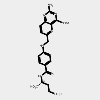 CC(=O)Nc1nc(N)nc2ccc(CNc3ccc(C(=O)N[C@H](CCC(=O)O)C(=O)O)cc3)nc12